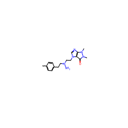 Cc1ccc(CCN(N)CCn2cnc3c2c(=O)n(C)n3C)cc1